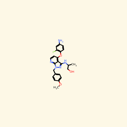 COc1ccc(Cn2nc(NC(C)CO)c3c(Oc4ccc(N)cc4F)ccnc32)cc1